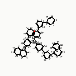 c1ccc(-c2cccc(-c3ccc(N(c4ccc(-c5cccc(-c6cccc7ccccc67)c5)cc4)c4cc(-c5cccc6ccccc56)ccc4-c4ccccc4)cc3)c2)cc1